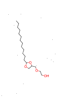 CCCCCCCCCCCCCC1OCC(COCCO)O1